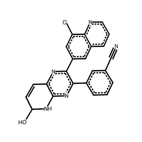 N#Cc1cccc(-c2nc3c(nc2-c2cc(Cl)c4ncccc4c2)C=CC(O)N3)c1